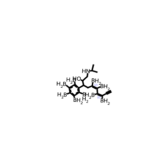 B/C(C#C)=C(B)/C(B)=C(/B)CC(c1c(B)c(B)c(B)c(B)c1B)C(O)CNC(C)C